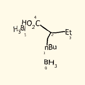 B.CCCCC(CC)C(=O)O.[BiH3]